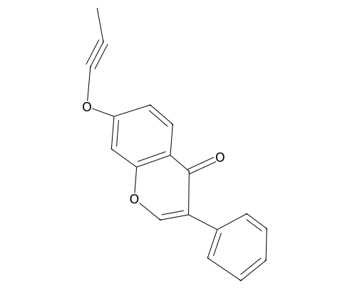 CC#COc1ccc2c(=O)c(-c3ccccc3)coc2c1